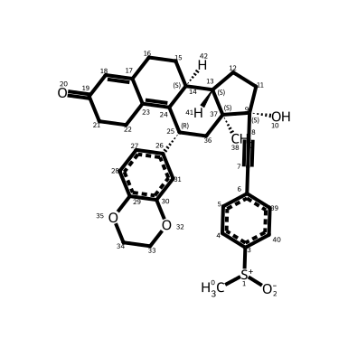 C[S+]([O-])c1ccc(C#C[C@]2(O)CC[C@H]3[C@@H]4CCC5=CC(=O)CCC5=C4[C@@H](c4ccc5c(c4)OCCO5)C[C@@]32C)cc1